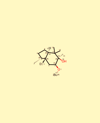 CC[C@@H](C)O[C@H]1C[C@]2(CC)[C@H](C)CC[C@H]2C(C)(C)[C@@]1(C)O